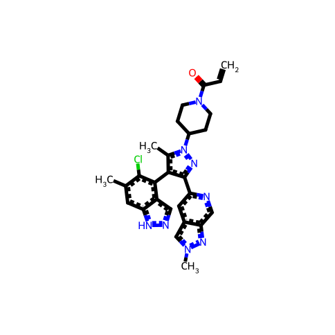 C=CC(=O)N1CCC(n2nc(-c3cc4cn(C)nc4cn3)c(-c3c(Cl)c(C)cc4[nH]ncc34)c2C)CC1